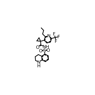 CCCc1nc(C(F)(F)F)ccc1C1(C(=O)NS(=O)(=O)c2cccc3c2CCCN3)CC1